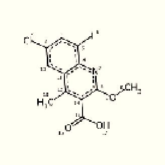 COc1nc2c(I)cc(Cl)cc2c(C)c1C(=O)O